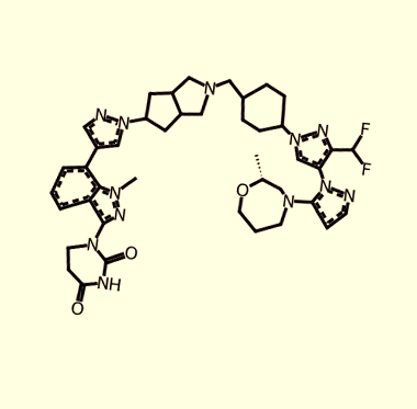 C[C@@H]1CN(c2ccnn2-c2cn(C3CCC(CN4CC5CC(n6cc(-c7cccc8c(N9CCC(=O)NC9=O)nn(C)c78)cn6)CC5C4)CC3)nc2C(F)F)CCCO1